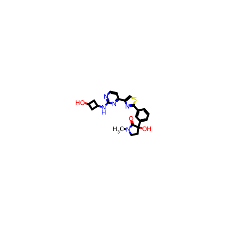 CN1CCC(O)(c2cccc(-c3nc(-c4ccnc(NC5CC(O)C5)n4)cs3)c2)C1=O